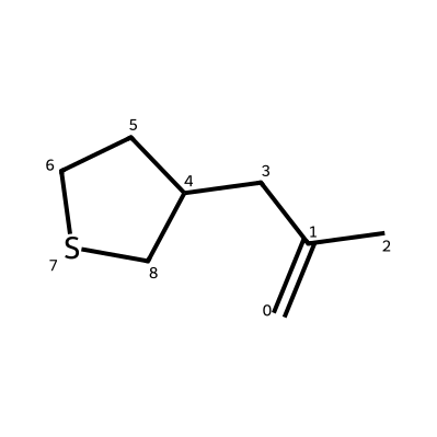 C=C(C)CC1CCSC1